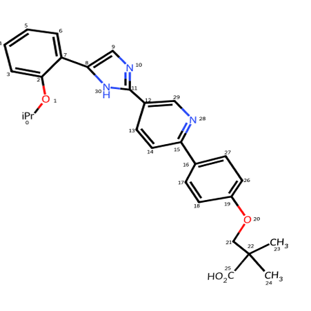 CC(C)Oc1ccccc1-c1cnc(-c2ccc(-c3ccc(OCC(C)(C)C(=O)O)cc3)nc2)[nH]1